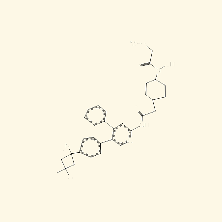 COCC(=O)N(C)C1CCC(CC(=O)Nc2cc(-c3ccccc3)c(-c3ccc(C4(N)CC(C)(O)C4)cc3)cn2)CC1